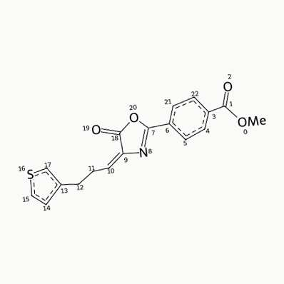 COC(=O)c1ccc(C2=N/C(=C/CCc3ccsc3)C(=O)O2)cc1